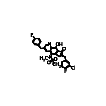 CN(c1c2c(c(O)c3ncc(Cc4ccc(F)cc4)cc13)C(=O)N(Cc1ccc(F)c(Cl)c1)C2)S(C)(=O)=O